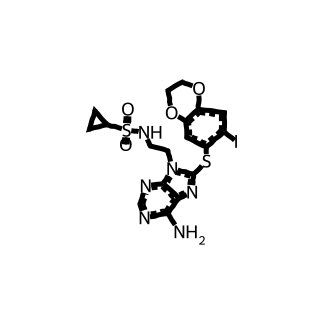 Nc1ncnc2c1nc(Sc1cc3c(cc1I)OCCO3)n2CCNS(=O)(=O)C1CC1